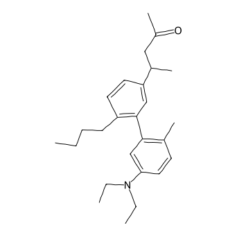 CCCCc1ccc(C(C)CC(C)=O)cc1-c1cc(N(CC)CC)ccc1C